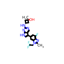 Cc1nc2c(F)cc(-c3c[nH]c4nc(N[C@H]5C[C@](C)(O)C5)ncc34)cc2n1CC(F)F